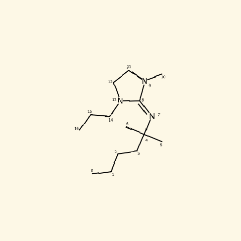 CCCCC(C)(C)N=C1N(C)CCN1CCC